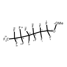 COOC(F)(F)C(F)(F)C(F)(F)C(F)(F)C(F)(F)C(F)(F)C(F)(F)F